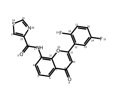 O=C(Nc1cccc2c(=O)cc(-c3cc(F)ccc3F)oc12)c1cscn1